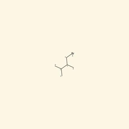 CC(C)C(C)CBr